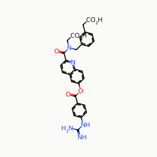 N=C(N)Nc1ccc(C(=O)Oc2ccc3nc(C(=O)N(CC(=O)O)Cc4cccc(CC(=O)O)c4)ccc3c2)cc1